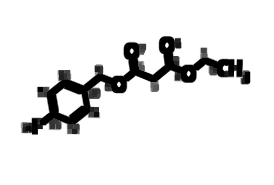 CCOC(=O)CC(=O)OCc1ccc(F)cc1